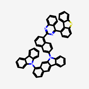 c1cc(-c2nc(-c3cccc4sc5ccccc5c34)c3ccccc3n2)c2ccc(-n3c4ccccc4c4cc5cccc(-n6c7ccccc7c7ccccc76)c5cc43)cc2c1